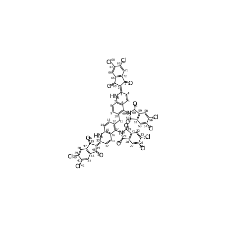 O=C1C(=C2C=Cc3c(ccc(Cc4ccc5c(c4N4C(=O)c6cc(Cl)c(Cl)cc6C4=O)C=CC(=C4C(=O)c6cc(Cl)c(Cl)cc6C4=O)N5)c3N3C(=O)c4cc(Cl)c(Cl)cc4C3=O)N2)C(=O)c2cc(Cl)c(Cl)cc21